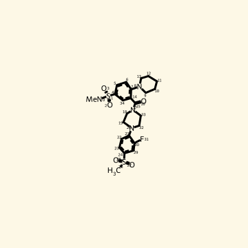 CNS(=O)(=O)c1ccc(N2CCCCC2)c(C(=O)N2CCN(c3ccc(S(C)(=O)=O)cc3F)CC2)c1